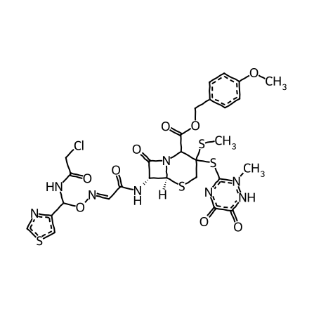 COc1ccc(COC(=O)C2N3C(=O)[C@@H](NC(=O)C=NOC(NC(=O)CCl)c4cscn4)[C@@H]3SCC2(SC)Sc2nc(=O)c(=O)[nH]n2C)cc1